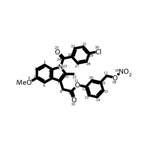 COc1ccc2c(c1)c(CC(=O)Oc1cccc(CO[N+](=O)[O-])c1)c(C)n2C(=O)c1ccc(Cl)cc1